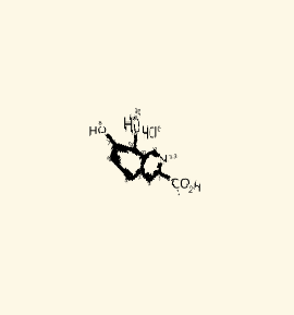 Cl.O=C(O)c1cc2ccc(O)c(O)c2cn1